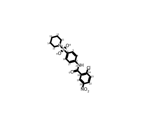 O=C(Nc1ccc(S(=O)(=O)N2CCCCC2)cc1)c1cc([N+](=O)[O-])ccc1Cl